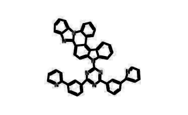 c1ccc(-c2cccc(-c3nc(-c4cccc(-c5ccccn5)c4)nc(-n4c5ccccc5c5c6c7ccccc7n7c8ccccc8nc7c6ccc54)n3)c2)nc1